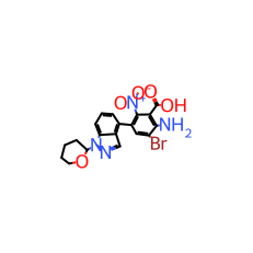 Nc1c(Br)cc(-c2cccc3c2cnn3C2CCCCO2)c([N+](=O)[O-])c1C(=O)O